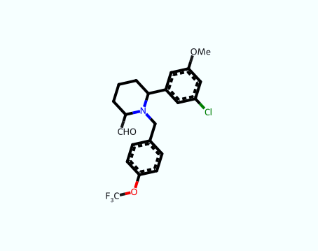 COc1cc(Cl)cc(C2CCCC(C=O)N2Cc2ccc(OC(F)(F)F)cc2)c1